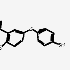 C=Cc1cc(Sc2ccc(S)cc2)ccc1S